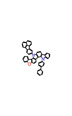 c1ccc(-c2ccc(-n3c4ccccc4c4ccc5c(c6ccc7oc8ccccc8c7c6n5-c5ccc6c(c5)-c5cccc7cccc-6c57)c43)cc2)cc1